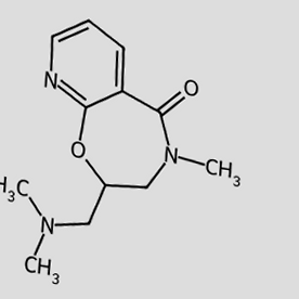 CN(C)CC1CN(C)C(=O)c2cccnc2O1